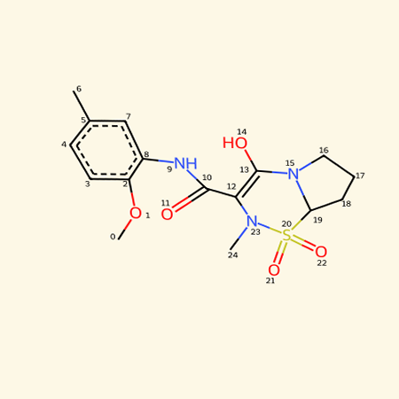 COc1ccc(C)cc1NC(=O)C1=C(O)N2CCCC2S(=O)(=O)N1C